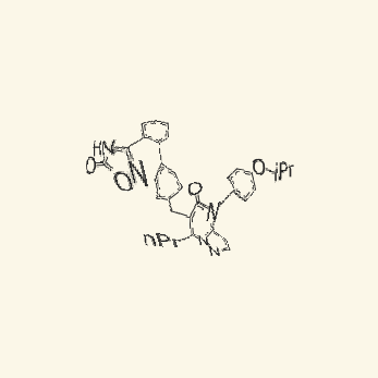 CCCc1c(Cc2ccc(-c3ccccc3-c3noc(=O)[nH]3)cc2)c(=O)n(-c2ccc(OC(C)C)cc2)c2ccnn12